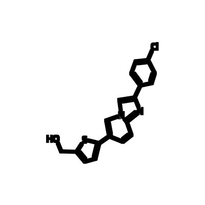 OCc1ccc(-c2ccc3nc(-c4ccc(Cl)cc4)cn3c2)s1